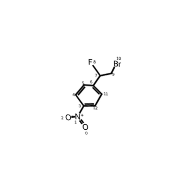 O=[N+]([O-])c1ccc(C(F)CBr)cc1